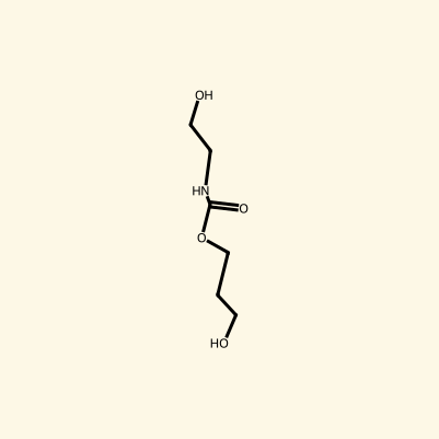 O=C(NCCO)OCCCO